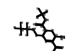 C=C(C)C1=CC(CO[Si](C)(C)C(C)(C)C)N(C(=O)OC(C)(C)C)CC1O